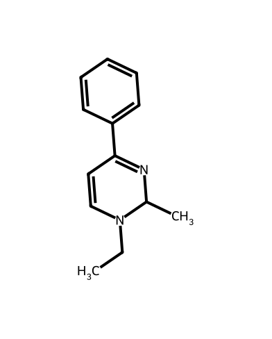 CCN1C=CC(c2ccccc2)=NC1C